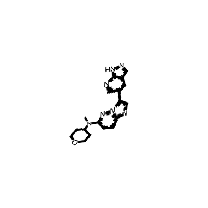 CN(c1ccc2ncc(-c3cnc4[nH]ncc4c3)n2n1)C1CCOCC1